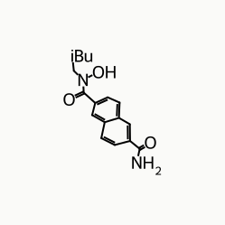 CCC(C)CN(O)C(=O)c1ccc2cc(C(N)=O)ccc2c1